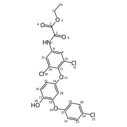 CCOC(=O)C(=O)Nc1cc(Cl)c(Oc2ccc(O)c(Oc3ccc(Cl)cc3)c2)c(Cl)c1